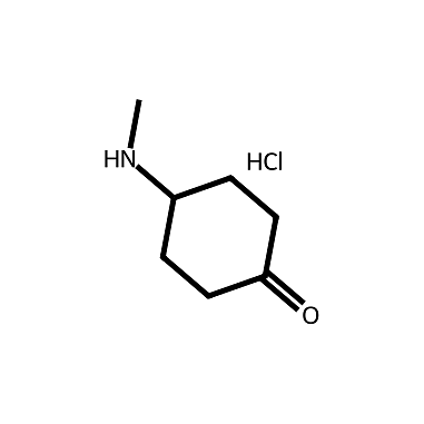 CNC1CCC(=O)CC1.Cl